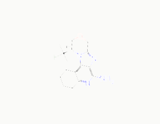 CC(C)(F)[C@H]1COCc2nc3c(N)nc4c(c3n21)CCCC4